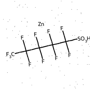 O=S(=O)(O)C(F)(F)C(F)(F)C(F)(F)C(F)(F)C(F)(F)F.[Zn]